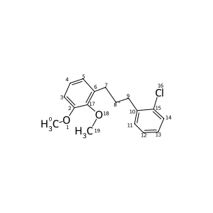 COc1cccc(C[CH]Cc2ccccc2Cl)c1OC